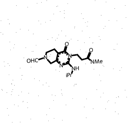 CNC(=O)CCn1c(NC(C)C)nc2c(c1=O)CCN(C=O)C2